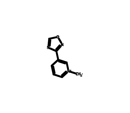 [CH2][n+]1cccc(-c2ncon2)c1